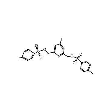 Cc1ccc(S(=O)(=O)OCc2cc(I)cc(COS(=O)(=O)c3ccc(C)cc3)n2)cc1